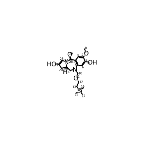 COc1cc2c(cc1O)N(COCC[Si](C)(C)C)C[C@@H]1CC(O)=CN1C2=O